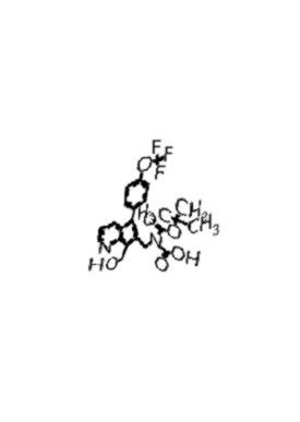 CC(C)(C)OC(=O)N(Cc1cc(-c2ccc(OC(F)(F)F)cc2)c2cccnc2c1CO)C(=O)O